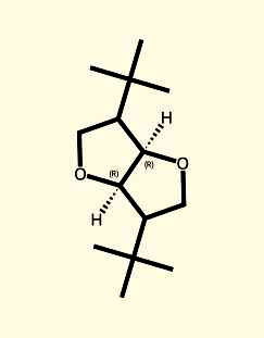 CC(C)(C)C1CO[C@@H]2C(C(C)(C)C)CO[C@H]12